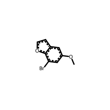 COc1cc(Br)c2occc2c1